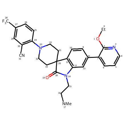 CCOc1ncccc1-c1ccc2c(c1)N(CCNC)C(=O)C21CCN(c2ccc(C(F)(F)F)cc2C#N)CC1